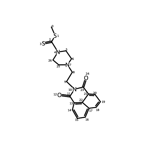 CSC(=S)N1CCN(CCN2C(=O)c3cccc4cccc(c34)C2=O)CC1